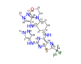 Cn1cc(Nc2nc(N[C@H]3CC[C@H](N4CCOCC4)C(Nc4cnn(C)c4)C3)c3nc(C(F)(F)F)sc3n2)cn1